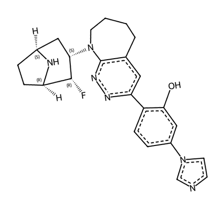 Oc1cc(-n2ccnc2)ccc1-c1cc2c(nn1)N([C@H]1C[C@@H]3CC[C@@H](N3)[C@H]1F)CCCC2